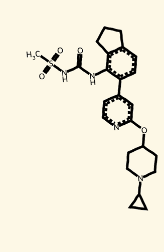 CS(=O)(=O)NC(=O)Nc1c(-c2ccnc(OC3CCN(C4CC4)CC3)c2)ccc2c1CCC2